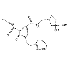 CNC(=O)c1cc(C(=O)NCC2CCS(O)(O)C2)cn(Cc2ccccc2)c1=O